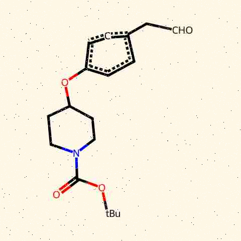 CC(C)(C)OC(=O)N1CCC(Oc2ccc(CC=O)cc2)CC1